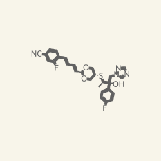 C[C@@H](S[C@H]1CO[C@H](/C=C/C=C/c2ccc(C#N)cc2F)OC1)[C@](O)(Cn1cncn1)c1ccc(F)cc1